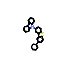 C1=CCCC(c2ccc3sc4ccc(-n5c6ccccc6c6ccccc65)cc4c3c2)=C1